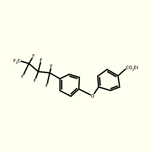 CCOC(=O)c1ccc(Oc2ccc(C(F)(F)C(F)(F)C(F)(F)C(F)(F)F)cc2)cc1